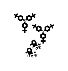 CC(C)(C)c1ccc([S+](c2ccc(C(C)(C)C)cc2)c2ccc(C(C)(C)C)cc2)cc1.CC(C)(C)c1ccc([S+](c2ccc(C(C)(C)C)cc2)c2ccc(C(C)(C)C)cc2)cc1.CC12CCC(C(S(=O)(=O)[O-])C1=O)C2(C)C.CC12CCC(C(S(=O)(=O)[O-])C1=O)C2(C)C